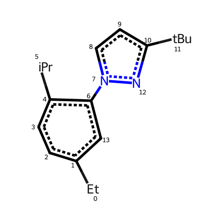 CCc1ccc(C(C)C)c(-n2ccc(C(C)(C)C)n2)c1